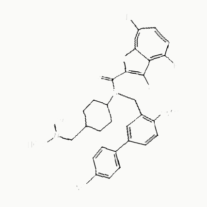 COc1ccc(-c2ccc(C#N)cc2)cc1CN(C(=O)c1sc2c(F)ccc(F)c2c1Cl)C1CCC(CN(C(=O)O)C(C)(C)C)CC1